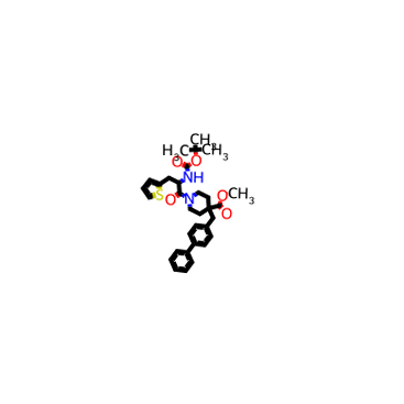 COC(=O)C1(Cc2ccc(-c3ccccc3)cc2)CCN(C(=O)C(Cc2cccs2)NC(=O)OC(C)(C)C)CC1